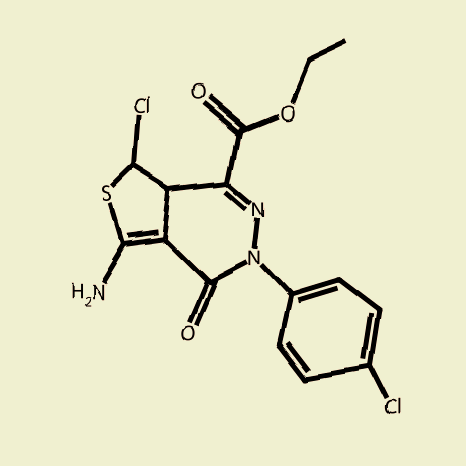 CCOC(=O)C1=NN(c2ccc(Cl)cc2)C(=O)C2=C(N)SC(Cl)C12